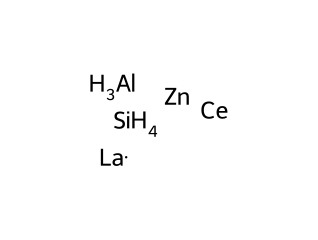 [AlH3].[Ce].[La].[SiH4].[Zn]